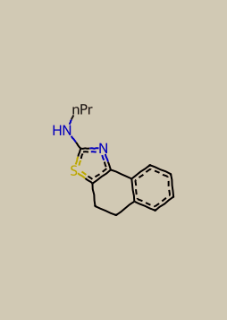 CCCNc1nc2c(s1)CCc1ccccc1-2